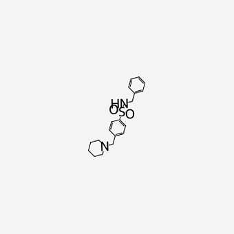 O=S(=O)(NCc1ccccc1)c1ccc(CN2CCCCC2)cc1